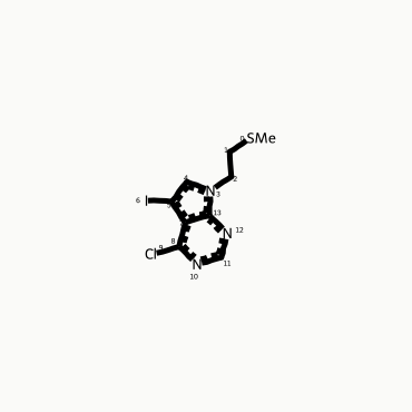 CSCCn1cc(I)c2c(Cl)ncnc21